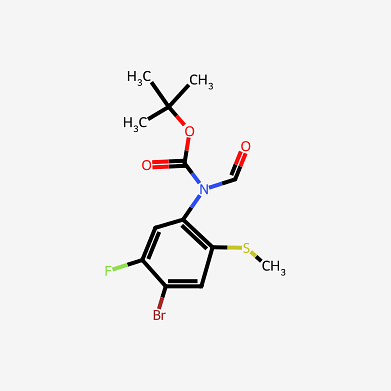 CSc1cc(Br)c(F)cc1N(C=O)C(=O)OC(C)(C)C